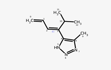 C=C/C=C(/c1[nH]nnc1C)C(C)C